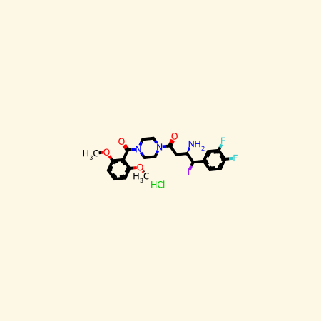 COc1cccc(OC)c1C(=O)N1CCN(C(=O)C[C@@H](N)C(I)c2ccc(F)c(F)c2)CC1.Cl